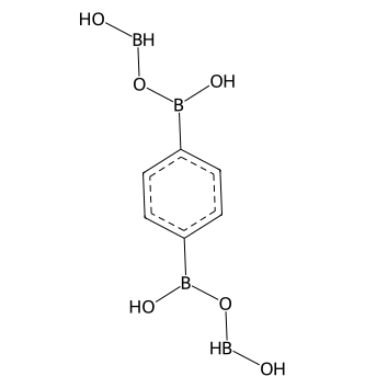 OBOB(O)c1ccc(B(O)OBO)cc1